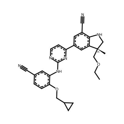 CCOC[C@@]1(C)CNc2c(C#N)cc(-c3ccnc(Nc4cc(C#N)ccc4OCC4CC4)n3)cc21